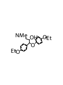 CCOc1ccc(OC(c2ccc(OCC)cc2)C(O)CNC)cc1